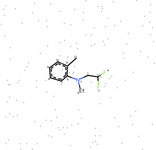 CCN(CC(F)F)c1ccccc1C